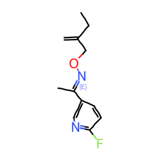 C=C(CC)CO/N=C(\C)c1ccc(F)nc1